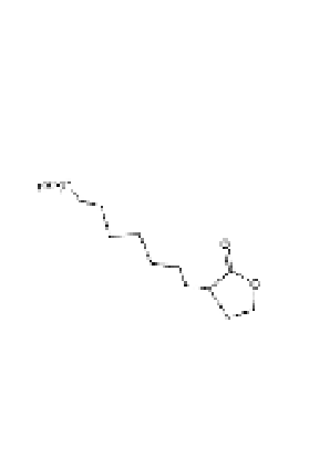 CCCCCCCCCCCCCCC1CCOC1=O